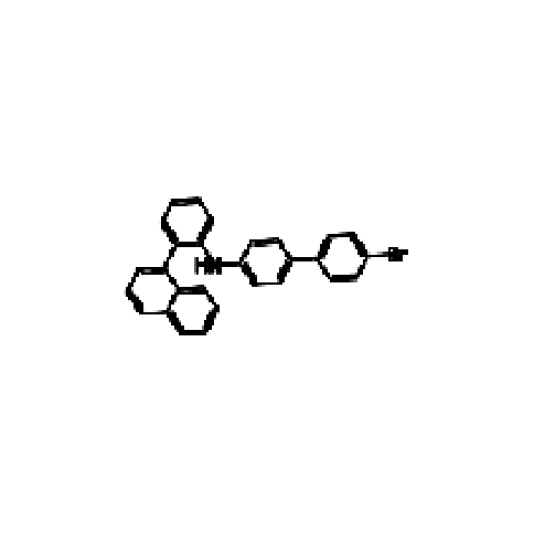 Brc1ccc(-c2ccc(Nc3ccccc3-c3cccc4ccccc34)cc2)cc1